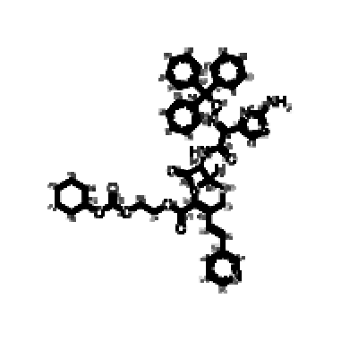 Nc1nc(C(=NOC(c2ccccc2)(c2ccccc2)c2ccccc2)C(=O)N[C@@H]2C(=O)N3C(C(=O)OCCOC(=O)OC4CCCCC4)=C(/C=C/c4cccnc4)CS[C@@H]23)cs1